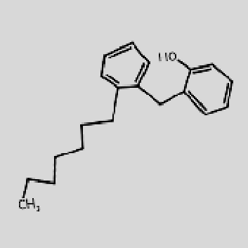 CCCCCCCc1ccccc1Cc1ccccc1O